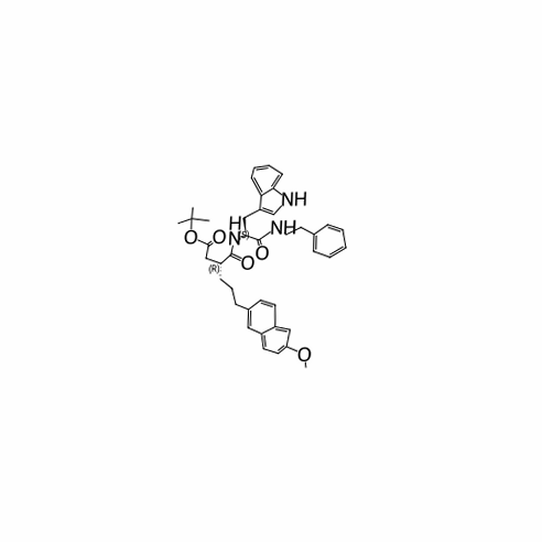 COc1ccc2cc(CCC[C@H](CC(=O)OC(C)(C)C)C(=O)N[C@@H](Cc3c[nH]c4ccccc34)C(=O)NCCc3ccccc3)ccc2c1